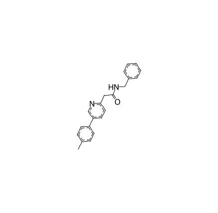 Cc1ccc(-c2ccc(CC(=O)NCc3ccccc3)nc2)cc1